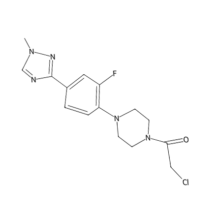 Cn1cnc(-c2ccc(N3CCN(C(=O)CCl)CC3)c(F)c2)n1